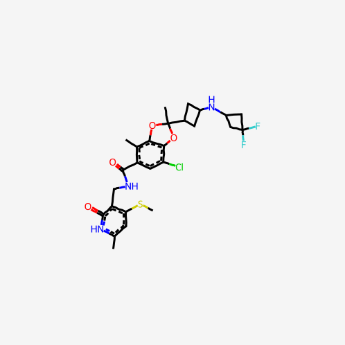 CSc1cc(C)[nH]c(=O)c1CNC(=O)c1cc(Cl)c2c(c1C)OC(C)(C1CC(NC3CC(F)(F)C3)C1)O2